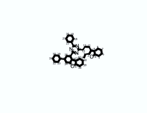 C=Cc1oc2ccccc2c1/C=C\Cc1nc(-c2ccccc2)nc(-c2cc(-c3ccccc3)cc3oc4ccccc4c23)n1